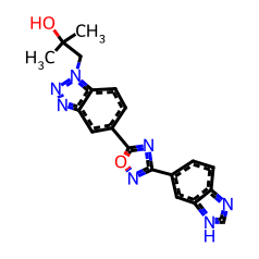 CC(C)(O)Cn1nnc2cc(-c3nc(-c4ccc5nc[nH]c5c4)no3)ccc21